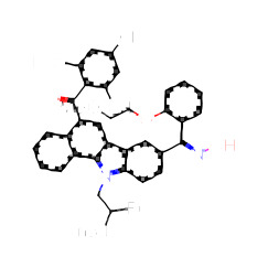 CCCCC(CC)Cn1c2ccc(/C(=N/O)c3ccccc3OCCOC)cc2c2cc(C(=O)c3c(C)cc(C)cc3C)c3ccccc3c21